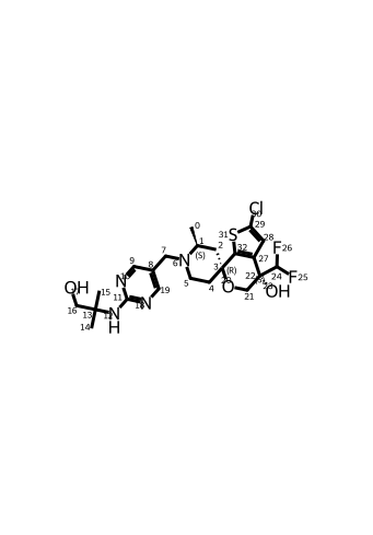 C[C@H]1C[C@@]2(CCN1Cc1cnc(NC(C)(C)CO)nc1)OC[C@](O)(C(F)F)c1cc(Cl)sc12